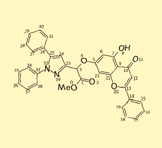 COC(=O)C(Oc1cc(O)c2c(=O)cc(-c3ccccc3)oc2c1)c1cc(-c2ccccc2)n(-c2ccccc2)n1